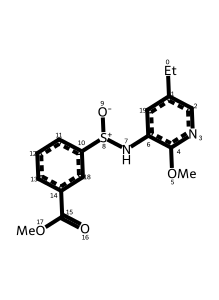 CCc1cnc(OC)c(N[S+]([O-])c2cccc(C(=O)OC)c2)c1